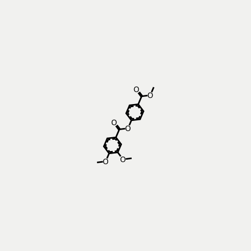 COC(=O)c1ccc(OC(=O)c2ccc(OC)c(OC)c2)cc1